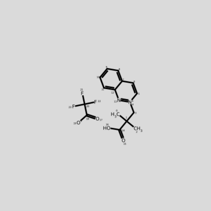 CC(C)(C[n+]1ccc2ccccc2n1)C(=O)O.O=C([O-])C(F)(F)F